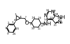 c1ccc([C@H]2CC2COC2CCC(Nc3ncnc4[nH]ncc34)CC2)cc1